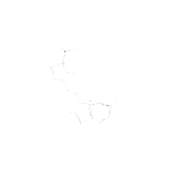 O=C(O)c1cnn(CCn2ccc3ccc(Br)cc32)c1